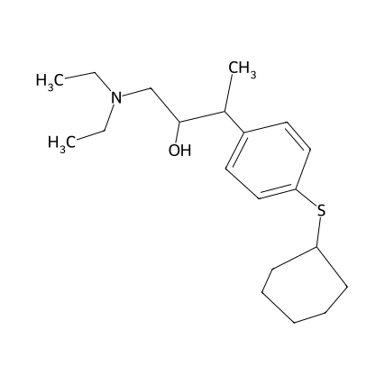 CCN(CC)CC(O)C(C)c1ccc(SC2CCCCC2)cc1